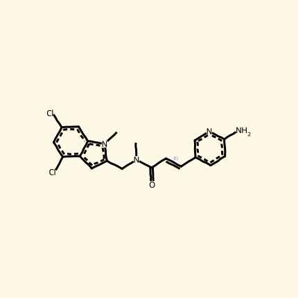 CN(Cc1cc2c(Cl)cc(Cl)cc2n1C)C(=O)/C=C/c1ccc(N)nc1